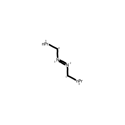 CCCCN=NCCCC